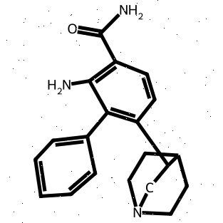 NC(=O)c1ccc(C2CN3CCC2CC3)c(-c2ccccc2)c1N